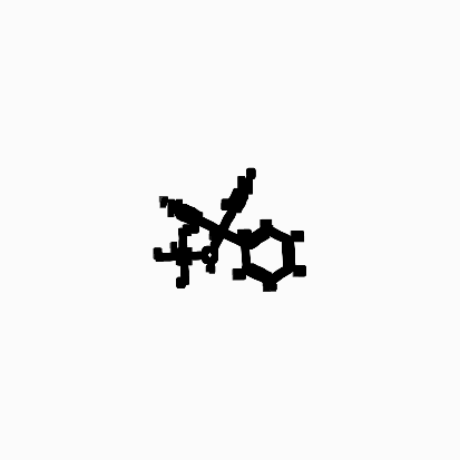 C[Si](C)(C)OC(C#N)(C#N)c1ccccc1